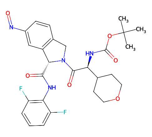 CC(C)(C)OC(=O)N[C@H](C(=O)N1Cc2ccc(N=O)cc2[C@H]1C(=O)Nc1c(F)cccc1F)C1CCOCC1